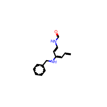 C=C/C=C(\C=C\NC=O)NCc1ccccc1